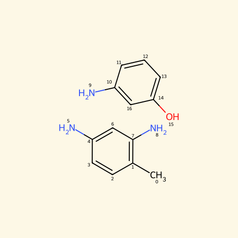 Cc1ccc(N)cc1N.Nc1cccc(O)c1